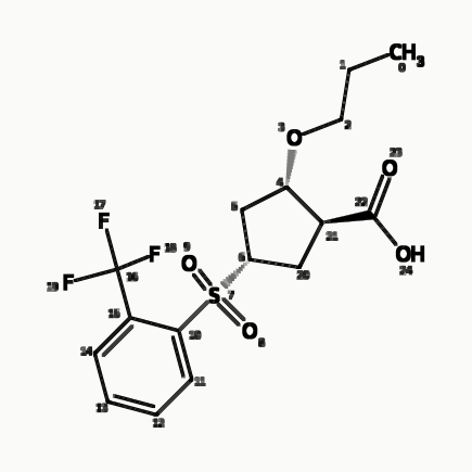 CCCO[C@H]1C[C@@H](S(=O)(=O)c2ccccc2C(F)(F)F)C[C@@H]1C(=O)O